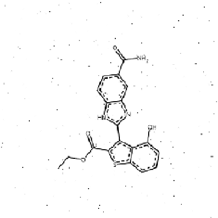 CCOC(=O)c1sc2cccc(O)c2c1-c1nc2cc(C(N)=O)ccc2[nH]1